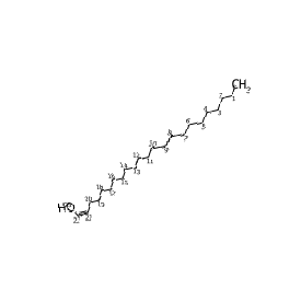 CCCCCCCCCCCCCCCCCCCCC/C=[C]\O